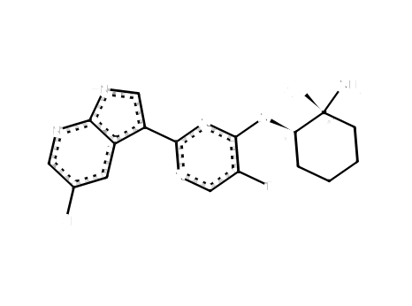 N[C@]1(C(=O)O)CCCC[C@H]1Nc1nc(-c2c[nH]c3ncc(Cl)cc23)ncc1F